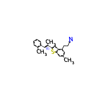 C/C(=C\c1ccccc1C)c1cc2c(CCC#N)cc(C)cc2s1